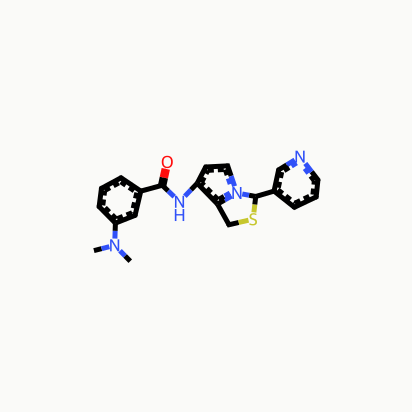 CN(C)c1cccc(C(=O)Nc2ccn3c2CSC3c2cccnc2)c1